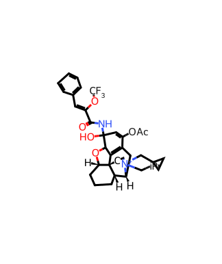 CC(=O)OC1=CC(O)(NC(=O)C(=Cc2ccccc2)OC(F)(F)F)C2O[C@H]3CCC[C@H]4[C@H]5CC1=C2[C@@]34CC[N+]5(CC(C)C)CC1CC1